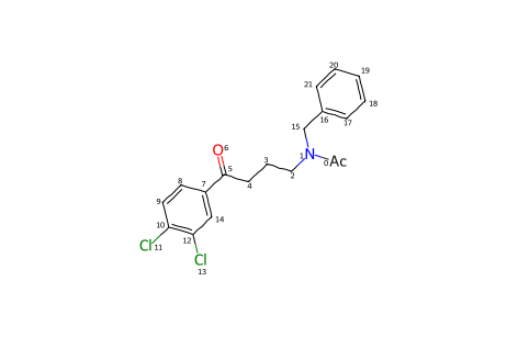 CC(=O)N(CCCC(=O)c1ccc(Cl)c(Cl)c1)Cc1ccccc1